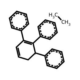 C1=CC(c2ccccc2)=C(c2ccccc2)[C](c2ccccc2)C1.CC